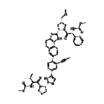 CC#Cc1cc(-c2cnc([C@@H]3CCCN3C(=O)[C@@H](NC(=O)OC)C(C)C)[nH]2)ccc1-c1ccc2c(ccc3nc([C@@H]4C[C@H](COC)CN4C(=O)[C@H](NC(=O)OC)c4ccccc4)[nH]c32)c1